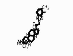 COC[C@]12CC[C@](O)(C(F)(F)F)C[C@H]1CC[C@H]1[C@@H]3CC[C@H](C(=O)Cn4nc5ccc(C)c(F)c5n4)[C@@]3(C)CC[C@@H]12